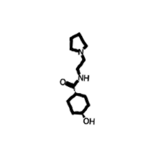 O=C(NCCN1CCCC1)[C@H]1CC[C@H](O)CC1